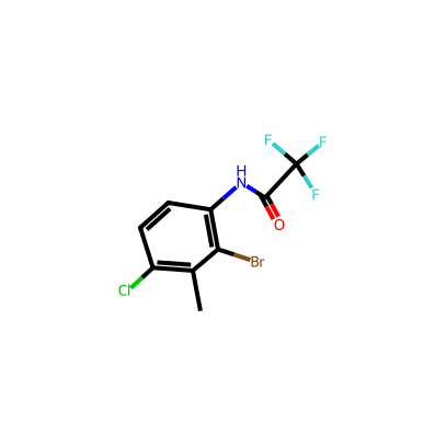 Cc1c(Cl)ccc(NC(=O)C(F)(F)F)c1Br